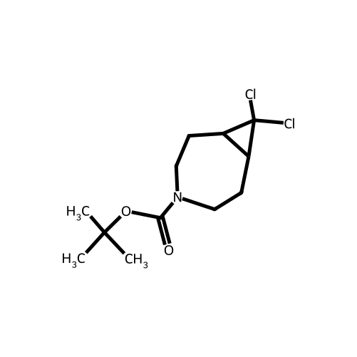 CC(C)(C)OC(=O)N1CCC2C(CC1)C2(Cl)Cl